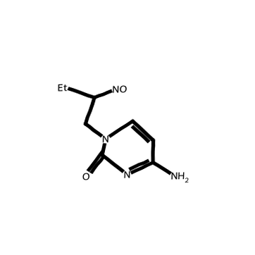 CCC(Cn1ccc(N)nc1=O)N=O